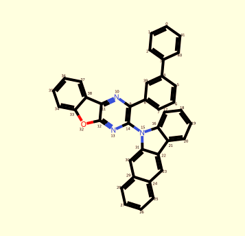 c1ccc(-c2cccc(-c3nc4c(nc3-n3c5ccccc5c5cc6ccccc6cc53)oc3ccccc34)c2)cc1